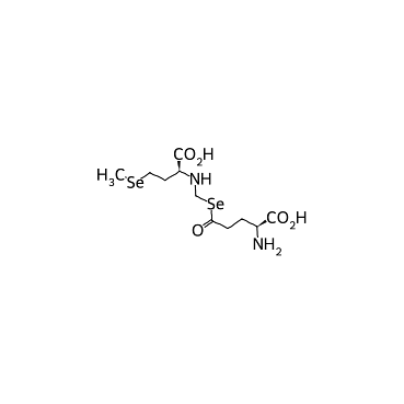 C[Se]CC[C@H](NC[Se]C(=O)CC[C@H](N)C(=O)O)C(=O)O